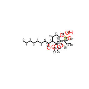 CCCCCCCC(=O)C1CCC[Si](OC)(C(CC)S(=O)(=O)O)C1(OC)OC